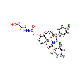 COc1c(OCC(=O)NCCCO)cccc1C1SC(c2ccc(F)cc2)=NN1C(=O)c1c(F)cc(F)cc1F